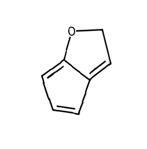 C1=CC2=CCOC2=C1